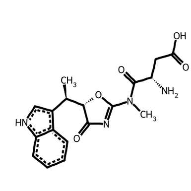 C[C@H](c1c[nH]c2ccccc12)[C@@H]1OC(N(C)C(=O)[C@@H](N)CC(=O)O)=NC1=O